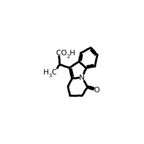 CC(C(=O)O)c1c2n(c3ccccc13)C(=O)CCC2